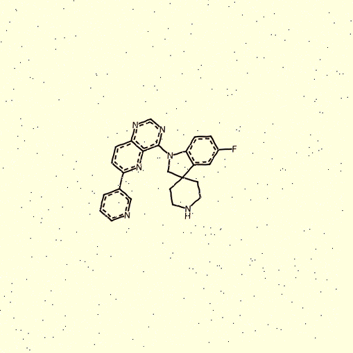 Fc1ccc2c(c1)C1(CCNCC1)CN2c1ncnc2ccc(-c3cccnc3)nc12